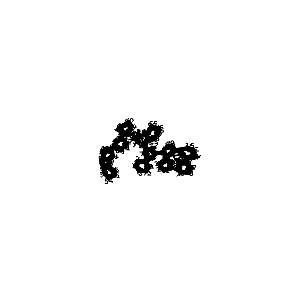 c1ccc(-c2cc(-c3cccc([Si](c4ccccc4)(c4ccccc4)c4ccccc4)c3)cc(-c3nc(-n4c5ccccc5c5cc(-c6ccc7sc8ccccc8c7c6)ccc54)nc4ccccc34)c2)cc1